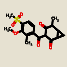 COc1c(S(C)(=O)=O)ccc(C(=O)C2C(=O)C(C)C3CC3C2=O)c1C